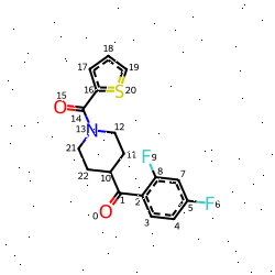 O=C(c1ccc(F)cc1F)C1CCN(C(=O)c2cccs2)CC1